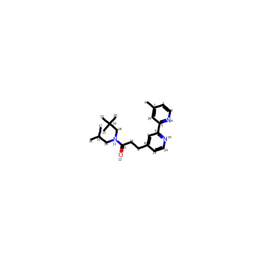 Cc1ccnc(-c2cc(CCC(=O)N(CC(C)C)CC(C)(C)C)ccn2)c1